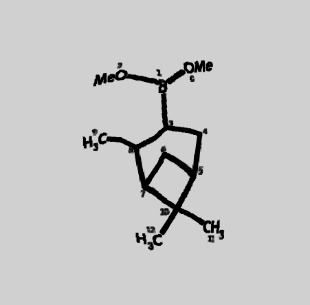 COB(OC)C1CC2CC(C1C)C2(C)C